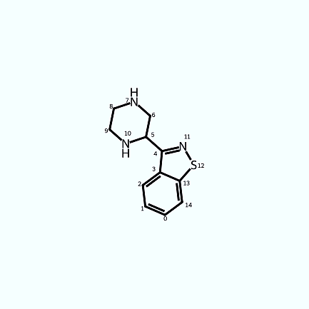 c1ccc2c(C3CNCCN3)nsc2c1